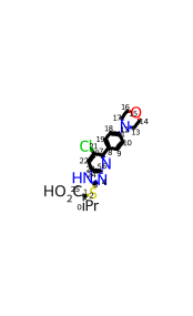 CC(C)C(Sc1nc2nc(-c3ccc(N4CCOCC4)cc3)c(Cl)cc2[nH]1)C(=O)O